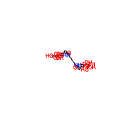 O=C(NCCCCCCCCNC(=O)c1cccc(-c2ccc(OC3OC(CO)C(O)C(O)C3O)cc2)c1)c1cccc(-c2ccc(OC(O)C(O)C(O)C(O)CCO)cc2)c1